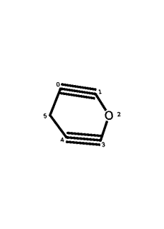 C1#COC#CC1